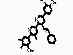 COc1ccc(-c2cnc(-c3cnc(-c4cc(C)c(C)c(OC)c4)c(C)c3)c(/C=C/c3ccccc3)c2)cc1OC